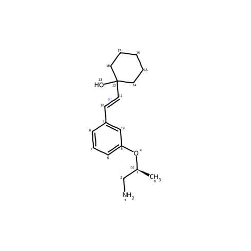 C[C@@H](CN)Oc1cccc(/C=C/C2(O)CCCCC2)c1